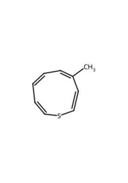 Cc1cccccscc1